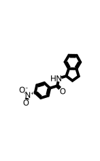 O=C(NC1CCc2ccccc21)c1ccc([N+](=O)[O-])cc1